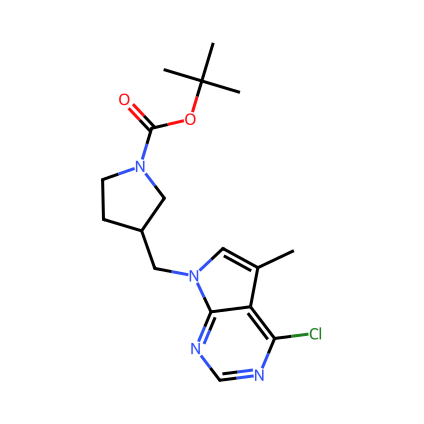 Cc1cn(CC2CCN(C(=O)OC(C)(C)C)C2)c2ncnc(Cl)c12